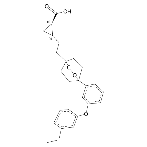 CCc1cccc(Oc2cccc(C34CCC(CC[C@@H]5C[C@H]5C(=O)O)(CC3)CO4)c2)c1